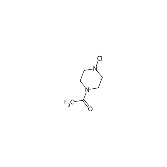 O=C(N1CCN(Cl)CC1)C(F)(F)F